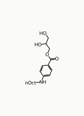 CCCCCCCCNc1ccc(C(=O)OCC(O)CO)cc1